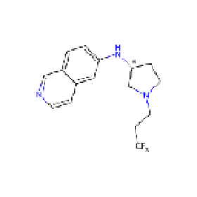 FC(F)(F)CCN1CC[C@@H](Nc2ccc3cnccc3c2)C1